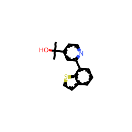 CC(C)(O)c1ccnc(-c2cccc3ccsc23)c1